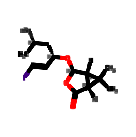 CCCC[C@@H](C)C[C@@H](C=CI)O[C@@H]1OC(=O)[C@@H]2[C@H]1C2(C)C